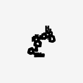 CSc1ccccc1Sc1ccc2c(N3C[C@H](N)[C@@H](N4CCCCC4=O)C3)ncnc2c1